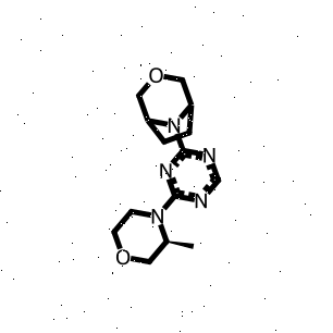 C[C@H]1COCCN1c1ncnc(N2C3CCC2COC3)n1